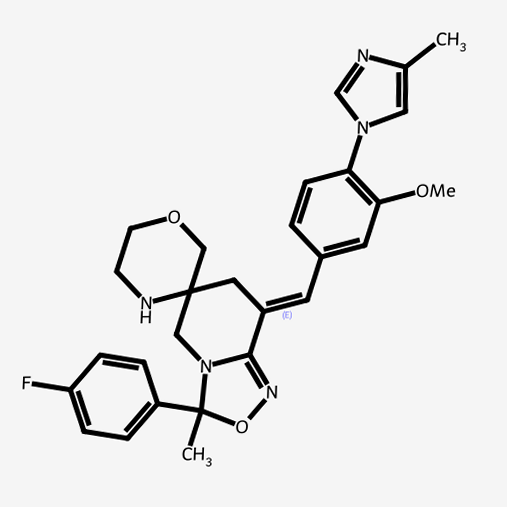 COc1cc(/C=C2\CC3(COCCN3)CN3C2=NOC3(C)c2ccc(F)cc2)ccc1-n1cnc(C)c1